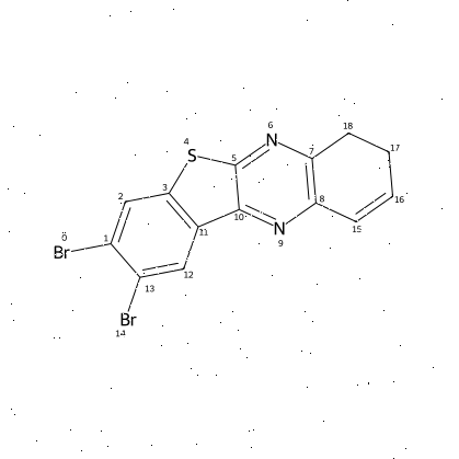 Brc1cc2sc3nc4c(nc3c2cc1Br)C=CCC4